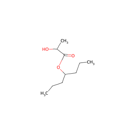 CCCC(CCC)OC(=O)C(C)O